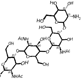 CO[C@H]1OC(CO)[C@H](OC2OC(CO)C(O[C@H]3OC(CO)[C@H](OC4OC(CO)C(O)[C@H](O)[C@@H]4N)C(O)[C@H]3NC(C)=O)[C@H](O)[C@@H]2NC(C)=O)C(O)[C@H]1NC(C)=O